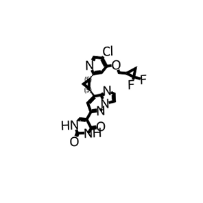 O=c1[nH]cc(-c2cc([C@H]3C[C@@H]3c3cc(OCC4CC4(F)F)c(Cl)cn3)c3nccn3n2)c(=O)[nH]1